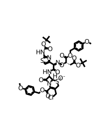 COc1ccc(COC(=O)C2=C(CCl)C[S@@+]([O-])[C@@H]3[C@H](NC(=O)/C(=N\O[C@@H](CC(=O)OC(C)(C)C)C(=O)OCc4ccc(OC)cc4)c4csc(NC(=O)OC(C)(C)C)n4)C(=O)N23)cc1